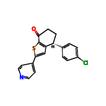 O=C1CC[C@H](c2ccc(Cl)cc2)c2cc(-c3ccncc3)sc21